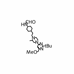 COCc1cc(N2CCN(CCC3CCC(NC=O)CC3)C(C)C2)nc(C(C)(C)C)n1